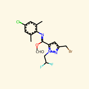 Cc1cc(Cl)cc(C)c1/N=C(\OC=O)c1cc(CBr)nn1CC(F)F